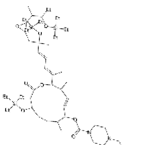 CCC(O[Si](CC)(CC)CC)C(C)C1OC1CC(C)(/C=C/C=C(\C)C1OC(=O)CC(O[Si](CC)(CC)CC)CCC(C)C(OC(=O)N2CCN(CC(C)(C)C)CC2)/C=C/C1C)O[Si](CC)(CC)CC